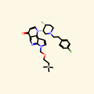 C[C@@H]1CCN(CCc2ccc(F)cc2)C[C@@H]1n1ccc(=O)c2cnc3c(ccn3COCC[Si](C)(C)C)c21